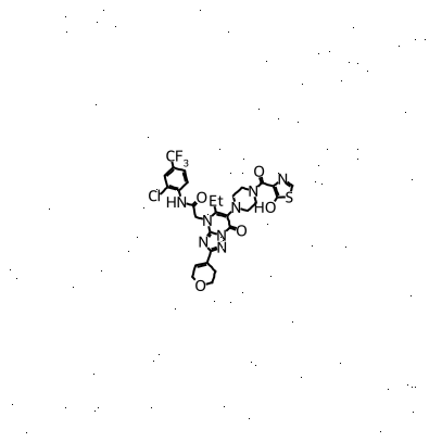 CCc1c(N2CCN(C(=O)c3ncsc3O)CC2)c(=O)n2nc(C3=CCOCC3)nc2n1CC(=O)Nc1ccc(C(F)(F)F)cc1Cl